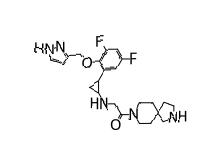 O=C(CNC1CC1c1cc(F)cc(F)c1OCc1cc[nH]n1)N1CCC2(CCNC2)CC1